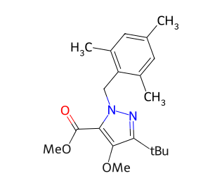 COC(=O)c1c(OC)c(C(C)(C)C)nn1Cc1c(C)cc(C)cc1C